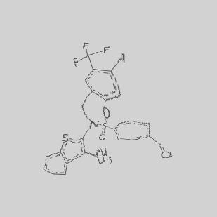 Cc1c(N(Cc2ccc(I)c(C(F)(F)F)c2)S(=O)(=O)c2ccc(C=O)cc2)sc2ccccc12